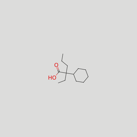 CCCC(CC)(C(=O)O)C1CCCCC1